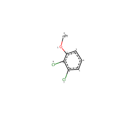 CCCOc1cccc(Cl)c1Cl